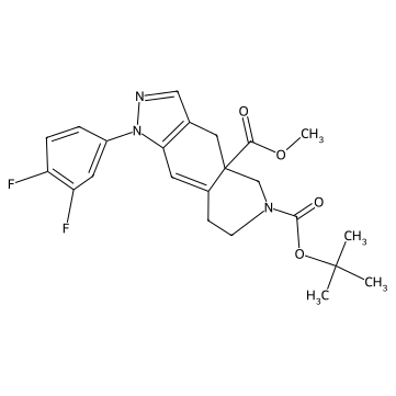 COC(=O)C12Cc3cnn(-c4ccc(F)c(F)c4)c3C=C1CCN(C(=O)OC(C)(C)C)C2